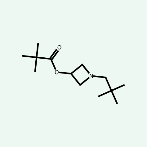 CC(C)(C)CN1CC(OC(=O)C(C)(C)C)C1